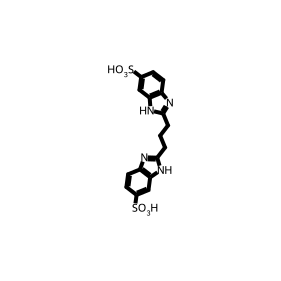 O=S(=O)(O)c1ccc2nc(CCCc3nc4ccc(S(=O)(=O)O)cc4[nH]3)[nH]c2c1